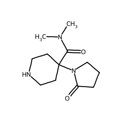 CN(C)C(=O)C1(N2CCCC2=O)CCNCC1